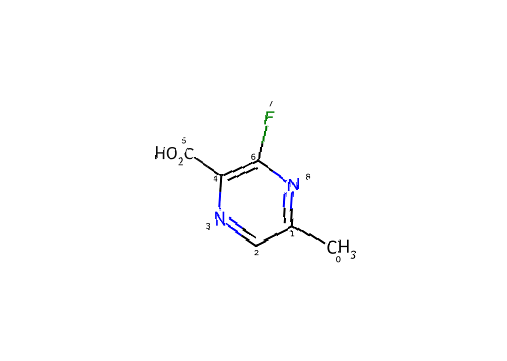 Cc1cnc(C(=O)O)c(F)n1